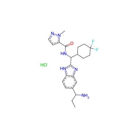 CCC(N)c1ccc2[nH]c(C(NC(=O)c3ccnn3C)C3CCC(F)(F)CC3)nc2c1.Cl